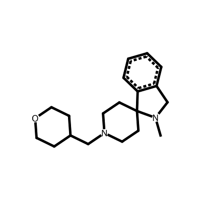 CN1Cc2ccccc2C12CCN(CC1CCOCC1)CC2